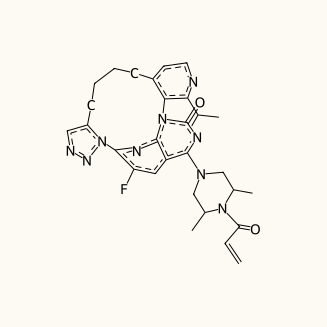 C=CC(=O)N1C(C)CN(c2nc(=O)n3c4nc(c(F)cc24)-n2nncc2CCCCc2ccnc(C(C)C)c2-3)CC1C